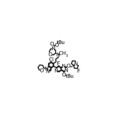 CN(CCCc1c(Cl)cc2c(cnn2C2CCCCO2)c1-c1ncc2c(OC(C)(C)C)nc(OC[C@@]34CCCN3C[C@H](F)C4)nc2c1F)[C@@H]1COCCN(C(=O)OC(C)(C)C)C1